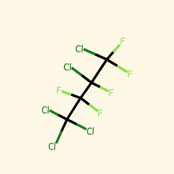 FC(F)(Cl)C(F)(Cl)C(F)(F)C(Cl)(Cl)Cl